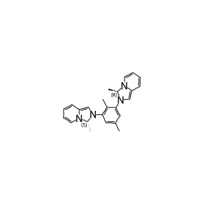 Cc1cc(N2C=C3C=CC=CN3[C@H]2C)c(C)c(N2C=C3C=CC=CN3[C@@H]2C)c1